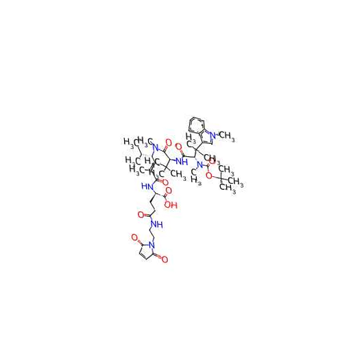 C/C(=C\[C@H](C(C)C)N(C)C(=O)[C@@H](NC(=O)[C@@H](N(C)C(=O)OC(C)(C)C)C(C)(C)c1cn(C)c2ccccc12)C(C)(C)C)C(=O)N[C@H](CCC(=O)NCCN1C(=O)C=CC1=O)C(=O)O